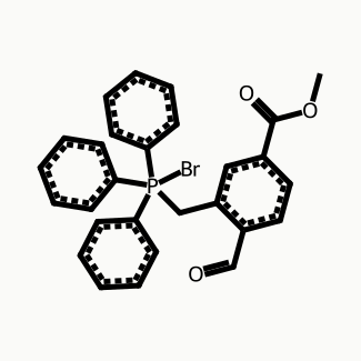 COC(=O)c1ccc(C=O)c(CP(Br)(c2ccccc2)(c2ccccc2)c2ccccc2)c1